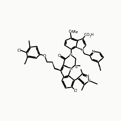 COc1ccc(N2C[C@@H](C)n3c(c(CCCOc4cc(C)c(Cl)c(C)c4)c4ccc(Cl)c(-c5c(C)nn(C)c5C)c43)C2=O)c2c1c(C(=O)O)cn2Cc1cc(C)ccn1